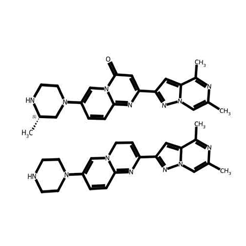 Cc1cn2nc(-c3cc(=O)n4cc(N5CCN[C@@H](C)C5)ccc4n3)cc2c(C)n1.Cc1cn2nc(C3=CCN4C=C(N5CCNCC5)C=CC4=N3)cc2c(C)n1